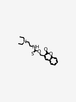 CCN(CC)CCNC(=S)OCc1cc2ccccc2oc1=O